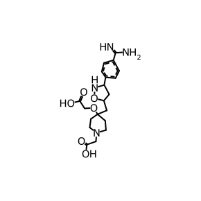 N=C(N)c1ccc(C2CC(CC3(OCC(=O)O)CCN(CC(=O)O)CC3)ON2)cc1